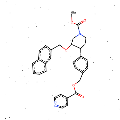 CC(C)(C)OC(=O)N1CCC(c2ccc(COC(=O)c3ccncc3)cc2)C(OCc2ccc3ccccc3c2)C1